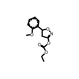 CCOC(=O)OC1=NOC(c2ccccc2OC)C1